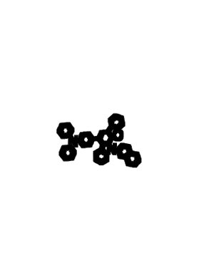 C1=C(c2ccc(N(c3ccccc3)c3ccccc3)cc2)c2c(n(-c3ccc4ccccc4c3)c3ccccc23)C2Oc3ccccc3C12